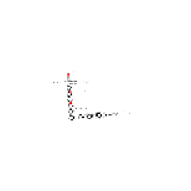 CCCCCCCCCCCCCCCCCC(=O)[O-].CCCCCCCCCCCCCCCCCC(=O)[O-].CCCCCCCCCCCCCCCCCC(=O)[O-].O=C([O-])c1ccccc1.O=C([O-])c1ccccc1.O=C([O-])c1ccccc1.O=C([O-])c1ccccc1.O=C([O-])c1ccccc1.O=C([O-])c1ccccc1.O=C([O-])c1ccccc1.O=C([O-])c1ccccc1.O=C([O-])c1ccccc1.[Al+3].[Al+3].[Al+3].[Al+3]